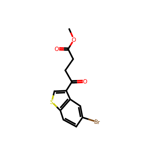 COC(=O)CCC(=O)c1csc2ccc(Br)cc12